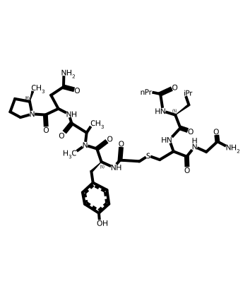 CCCC(=O)N[C@@H](CC(C)C)C(=O)NC(CSCC(=O)N[C@@H](Cc1ccc(O)cc1)C(=O)N(C)C(C)C(=O)NC(CC(N)=O)C(=O)N1CCC[C@H]1C)C(=O)NCC(N)=O